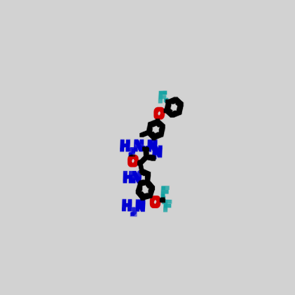 Cc1cc(Oc2ccccc2F)ccc1-n1ncc(C(=O)c2cc3cc(OC(F)F)c(N)cc3[nH]2)c1N